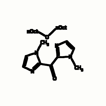 CCCCCCCCOCCCCCCCC.Cn1ccnc1C(=O)c1nccn1C